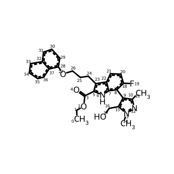 CCOC(=O)c1[nH]c2c(-c3c(C)nn(C)c3CO)c(F)ccc2c1CCCOc1cccc2ccccc12